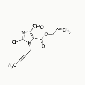 C=CCOC(=O)c1c(C=O)nc(Cl)n1CC#CC